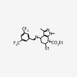 CCOC(=O)N1c2c(c(C)nn2C)C(N=Cc2cc(C(F)(F)F)cc(C(F)(F)F)c2)CC1CC